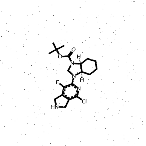 CC(C)(C)OC(=O)N1CN(c2nc(Cl)c3c(c2F)CNC3)[C@@H]2CCCC[C@@H]21